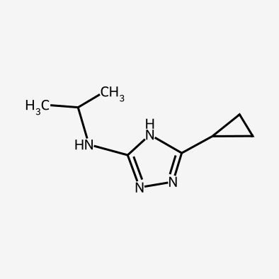 CC(C)Nc1nnc(C2CC2)[nH]1